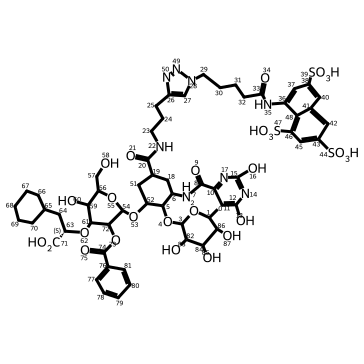 CC1OC(OC2C(NC(=O)c3cc(O)nc(O)n3)CC(C(=O)NCCCc3cn(CCCCC(=O)Nc4cc(S(=O)(=O)O)cc5cc(S(=O)(=O)O)cc(S(=O)(=O)O)c45)nn3)CC2OC2OC(CO)C(O)C(O[C@@H](CC3CCCCC3)C(=O)O)C2OC(=O)c2ccccc2)C(O)C(O)C1O